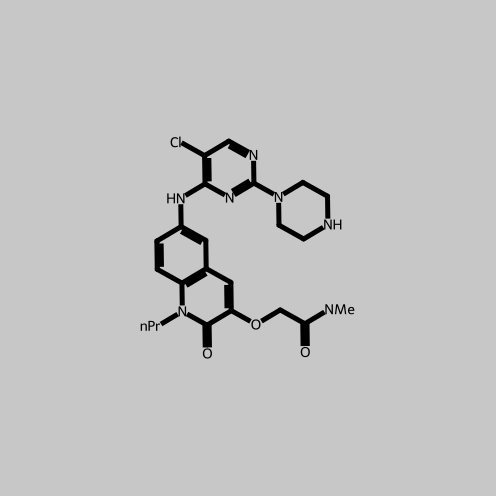 CCCn1c(=O)c(OCC(=O)NC)cc2cc(Nc3nc(N4CCNCC4)ncc3Cl)ccc21